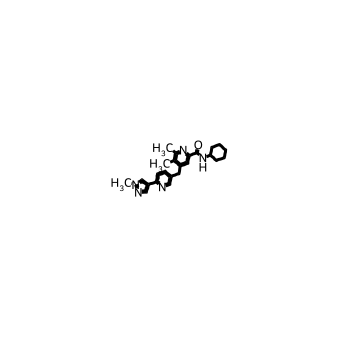 Cc1nc(C(=O)NC2CCCCC2)cc(Cc2ccc(-c3cnn(C)c3)nc2)c1C